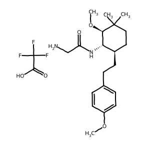 COc1ccc(CC[C@@H]2CCC(C)(C)[C@H](OC)[C@H]2NC(=O)CN)cc1.O=C(O)C(F)(F)F